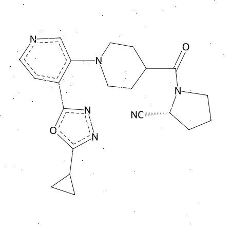 N#C[C@H]1CCCN1C(=O)C1CCN(c2cnccc2-c2nnc(C3CC3)o2)CC1